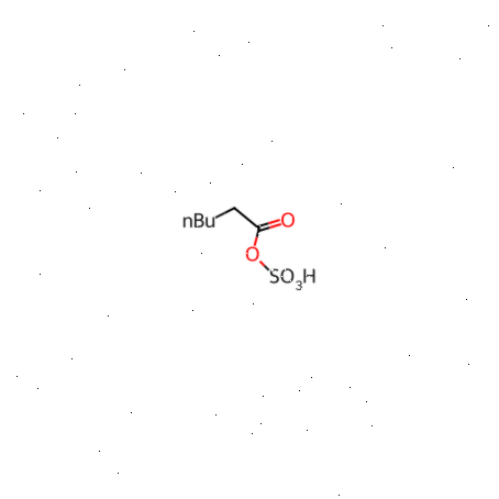 CCCCCC(=O)OS(=O)(=O)O